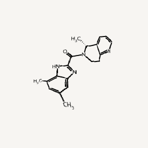 Cc1cc(C)c2[nH]c(C(=O)N3CCc4ncccc4[C@H]3C)nc2c1